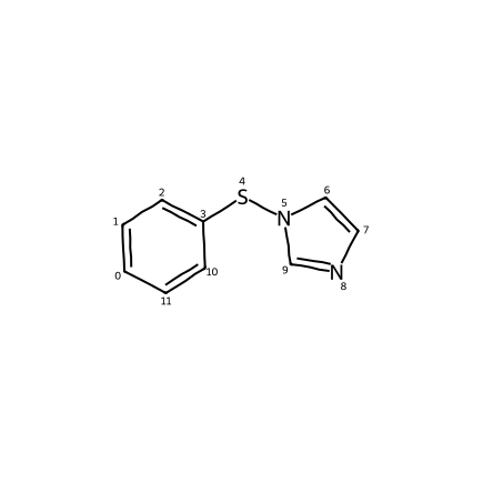 c1ccc(Sn2ccnc2)cc1